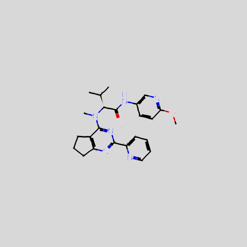 COc1ccc(NC(=O)[C@H](C(C)C)N(C)c2nc(-c3ccccn3)nc3c2CCC3)cn1